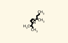 CCCC(C)n1ccc(C(C)CC)n1